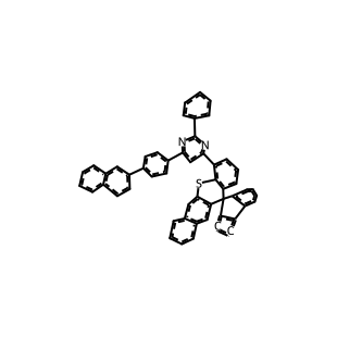 c1ccc(-c2nc(-c3ccc(-c4ccc5ccccc5c4)cc3)cc(-c3cccc4c3Sc3cc5ccccc5cc3C43c4ccccc4-c4ccccc43)n2)cc1